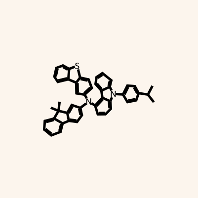 CC(C)c1ccc(-n2c3ccccc3c3c(N(c4ccc5c(c4)C(C)(C)c4ccccc4-5)c4ccc5sc6ccccc6c5c4)cccc32)cc1